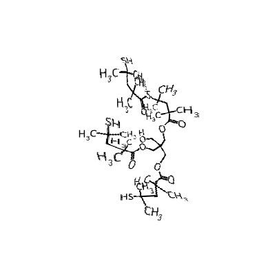 CC(C)(S)CC(C)(C)C(=O)OCC(CO)(COC(=O)C(C)(C)CC(C)(C)S)COC(=O)C(C)(C)CC(C)(C)SC(=O)C(C)(C)CC(C)(C)S